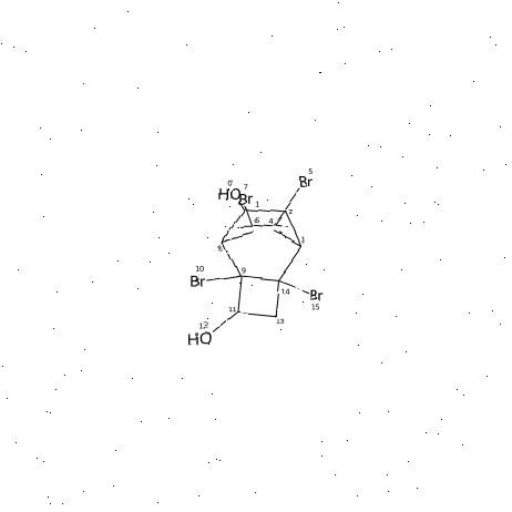 OC1CC2=C(Br)C(Br)=C1C1(Br)C(O)CC21Br